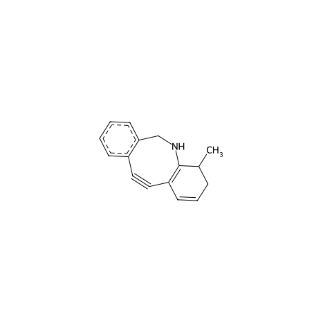 CC1CC=CC2=C1NCc1ccccc1C#C2